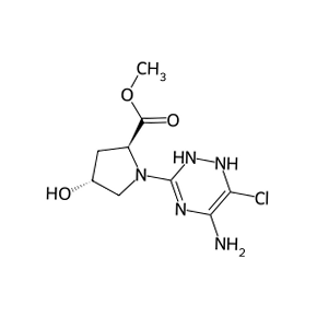 COC(=O)[C@@H]1C[C@@H](O)CN1C1=NC(N)=C(Cl)NN1